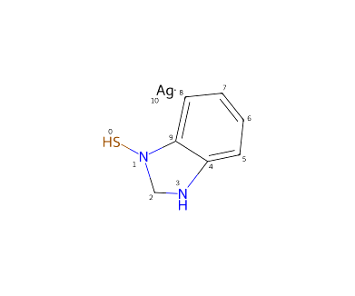 SN1CNc2ccccc21.[Ag]